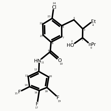 CCCC(O)C(CC)Cc1cc(C(=O)Nc2cc(F)c(F)c(F)c2)ccc1Cl